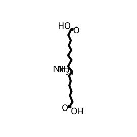 N.N.O=C(O)CCCCCCCCCCCCCCC(=O)O